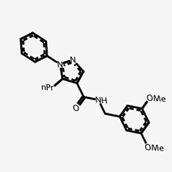 CCCc1c(C(=O)NCc2cc(OC)cc(OC)c2)cnn1-c1ccccc1